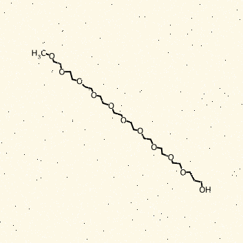 COCCOCCOCCOCCOCCOCCOCCOCCOCCOCCCO